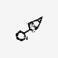 [c]1c(-c2ccccn2)nc2nc1C1CC21